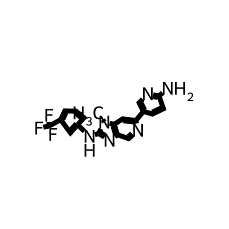 Cn1c(Nc2cccc(C(F)(F)F)c2)nc2cnc(-c3ccc(N)nc3)cc21